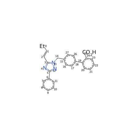 CCC=Cc1nc(-c2ccccc2)nn1Cc1ccc(-c2ccccc2C(=O)O)cc1